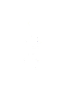 Fc1ccc2nc(CC3CCCC[N]3)ccc2c1